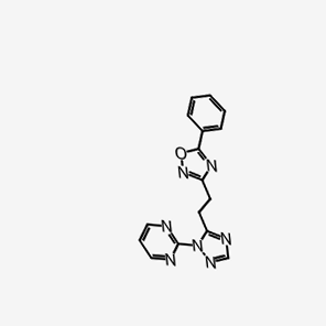 c1ccc(-c2nc(CCc3ncnn3-c3ncccn3)no2)cc1